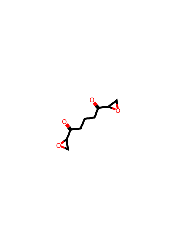 O=C(CCCC(=O)C1CO1)C1CO1